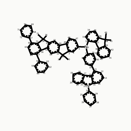 CC1(C)c2cc(N(c3ccc(-c4cccc5c4c4ccccc4n5-c4ccccc4)cc3)c3cccc4c3-c3ccccc3C4(C)C)ccc2-c2cc3c(cc21)-c1c(-c2ccccc2)ccc(-c2ccccc2)c1C3(C)C